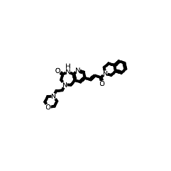 O=C1CN(CCN2CCOCC2)Cc2cc(/C=C/C(=O)N3CCc4ccccc4C3)cnc2N1